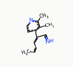 C/C=C\C=C(/C=N)c1ccnc(C)c1C